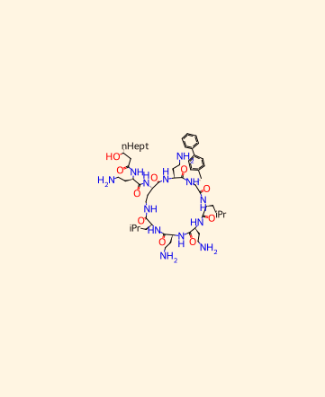 CCCCCCC[C@@H](O)CC(=O)N[C@H](CCN)C(=O)N[C@H]1CCNC(=O)[C@H](CC(C)C)NC(=O)[C@H](CCN)NC(=O)[C@H](CCN)NC(=O)[C@H](CC(C)C)NC(=O)[C@@H](Cc2ccc(-c3ccccc3)cc2)NC(=O)[C@H](CCN)NC1=O